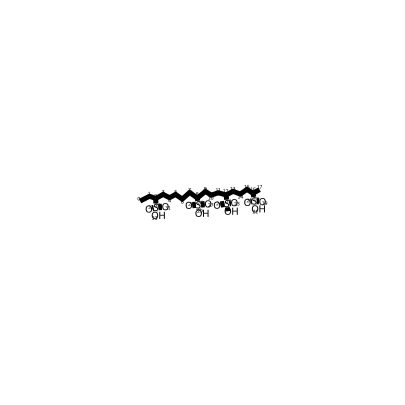 CCC(CCCCCC(CCCC(CCCC(C)S(=O)(=O)O)S(=O)(=O)O)S(=O)(=O)O)S(=O)(=O)O